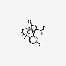 CC1(c2ccc(Cl)nc2-n2[nH]c(=O)cc2C(F)F)OCCO1